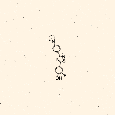 Oc1ccc(-c2nc(-c3ccc(N4CCCC4)cc3)ns2)cc1F